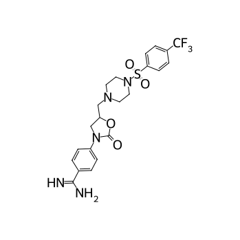 N=C(N)c1ccc(N2CC(CN3CCN(S(=O)(=O)c4ccc(C(F)(F)F)cc4)CC3)OC2=O)cc1